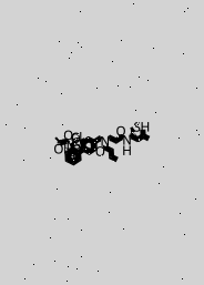 CCCC(=O)N(CCC(=O)N[C@@H](CS)CC(C)C)CC1=CC=C(c2ccccc2)C(Cl)(S(=O)(=O)NC(=O)[C@H](C)O)C1